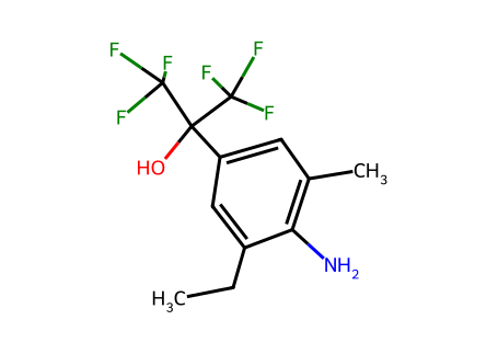 CCc1cc(C(O)(C(F)(F)F)C(F)(F)F)cc(C)c1N